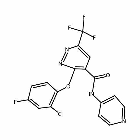 O=C(Nc1ccncc1)c1cc(C(F)(F)F)nnc1Oc1ccc(F)cc1Cl